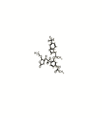 CCOC1OC(=O)CC1NS(=O)(=O)c1ccc(NC(C)=O)cc1O[C@H](C)Cn1cnc2cc(C(F)(F)F)ccc21